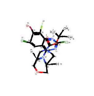 CC(C)(C)OC(=O)N1C[C@H]2COC[C@@H](C1)N2c1nc(Cl)nc2c(F)c(Br)c(Cl)cc12